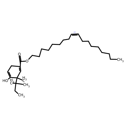 CCCCCCCC/C=C\CCCCCCCCOC(=O)C1=CC(C)(C(C)(C)CC)C(O)=CC1